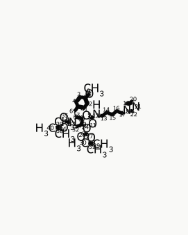 COc1ccc(C[C@@H]2[C@H](OC(=O)NCCCCCn3ccnc3)[C@@H](OC(=O)OC(C)(C)C)CN2C(=O)OC(C)(C)C)cc1